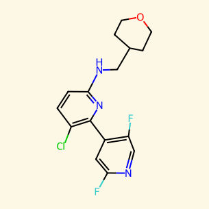 Fc1cc(-c2nc(NCC3CCOCC3)ccc2Cl)c(F)cn1